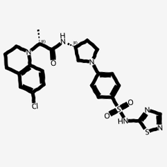 C[C@H](C(=O)N[C@@H]1CCN(c2ccc(S(=O)(=O)Nc3ncns3)cc2)C1)N1CCCc2cc(Cl)ccc21